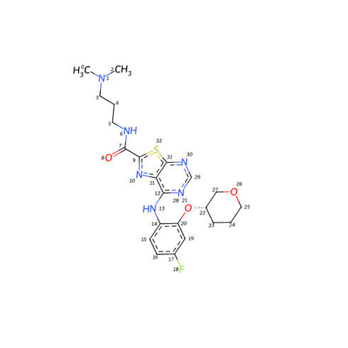 CN(C)CCCNC(=O)c1nc2c(Nc3ccc(F)cc3O[C@H]3CCCOC3)ncnc2s1